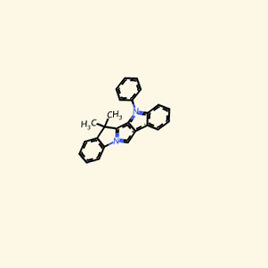 CC1(C)c2ccccc2-n2cc3c4ccccc4n(-c4ccccc4)c3c21